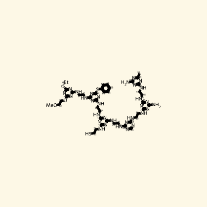 CCSc1nc(NCCNc2nc(NCCNc3nc(NCCS)nc(NCCNc4ncnc(NCCNc5nc(N)nc(NCCNc6nc(C)nc(N)n6)n5)n4)n3)nc(Sc3ccccc3)n2)nc(OCCOC)n1